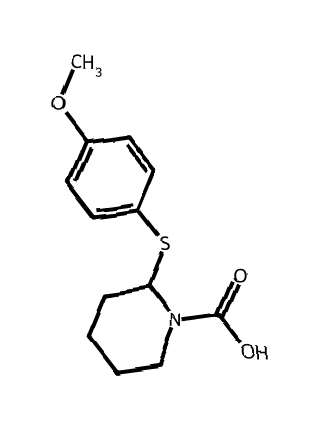 COc1ccc(SC2CCCCN2C(=O)O)cc1